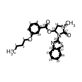 CCCCOc1cccc(C(=O)OC2CN(C)C(=O)N2c2nc3ccccc3s2)c1